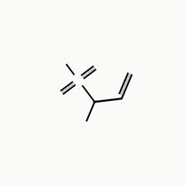 C=CC(F)S([O])(=O)=O